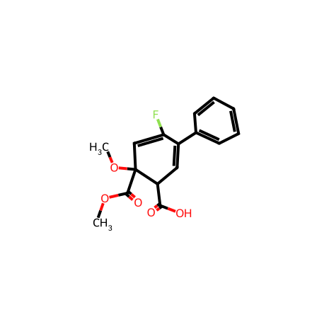 COC(=O)C1(OC)C=C(F)C(c2ccccc2)=CC1C(=O)O